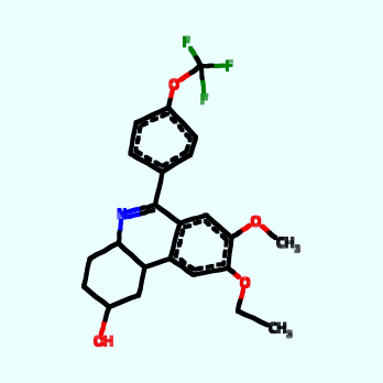 CCOc1cc2c(cc1OC)C(c1ccc(OC(F)(F)F)cc1)=NC1CCC(O)CC21